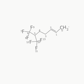 [CH2]C=CCCC(C(F)(F)F)C(F)(F)F